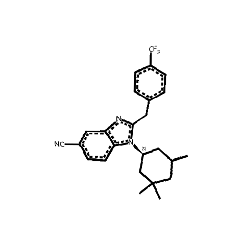 CC1C[C@H](n2c(Cc3ccc(C(F)(F)F)cc3)nc3cc(C#N)ccc32)CC(C)(C)C1